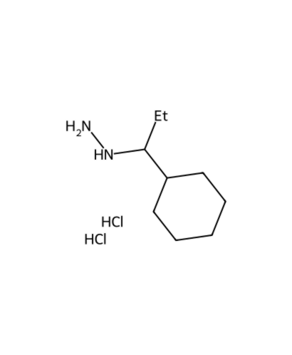 CCC(NN)C1CCCCC1.Cl.Cl